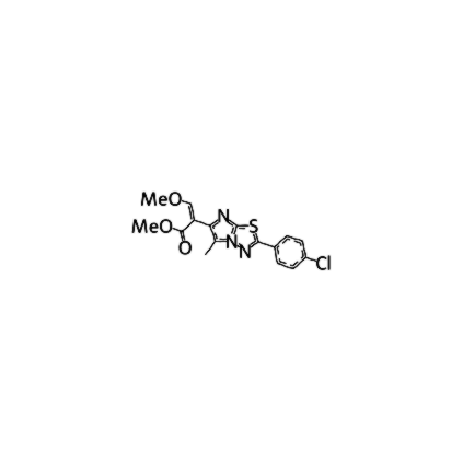 COC=C(C(=O)OC)c1nc2sc(-c3ccc(Cl)cc3)nn2c1C